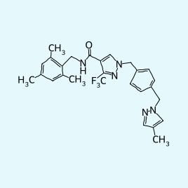 Cc1cc(C)c(CNC(=O)c2cn(Cc3ccc(Cn4cc(C)cn4)cc3)nc2C(F)(F)F)c(C)c1